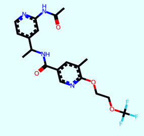 CC(=O)Nc1cc(C(C)NC(=O)c2cnc(OCCOC(F)(F)F)c(C)c2)ccn1